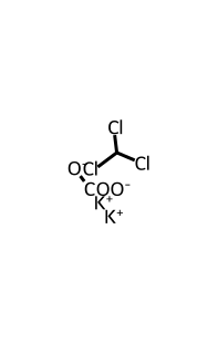 ClC(Cl)Cl.O=C([O-])[O-].[K+].[K+]